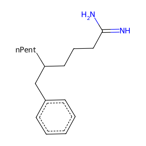 CC[CH]CCC(CCCC(=N)N)Cc1ccccc1